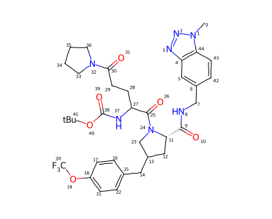 Cn1nnc2cc(CNC(=O)[C@@H]3CC(Cc4ccc(OC(F)(F)F)cc4)CN3C(=O)C(CCC(=O)N3CCCC3)NC(=O)OC(C)(C)C)ccc21